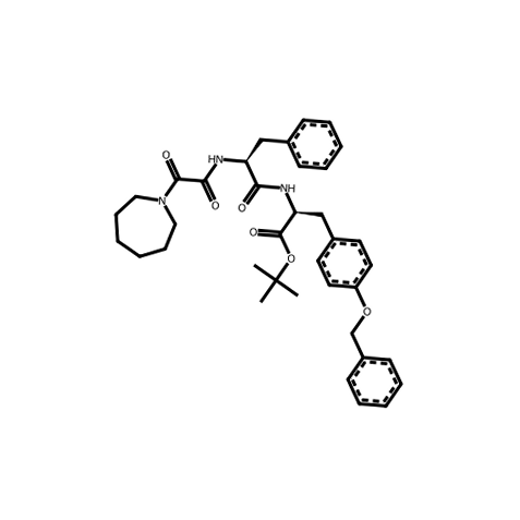 CC(C)(C)OC(=O)[C@H](Cc1ccc(OCc2ccccc2)cc1)NC(=O)[C@H](Cc1ccccc1)NC(=O)C(=O)N1CCCCCC1